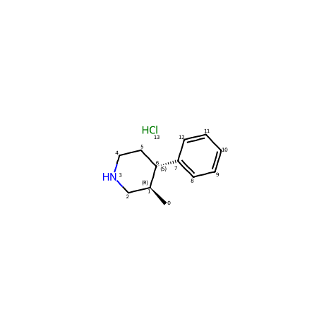 C[C@H]1CNCC[C@@H]1c1ccccc1.Cl